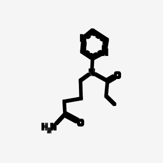 CCC(=O)N(CCCC(N)=O)c1cnccn1